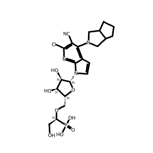 N#Cc1c(Cl)nc2c(ccn2[C@@H]2O[C@H](CO[C@H](CO)P(=O)(O)O)[C@@H](O)[C@H]2O)c1N1CC2CCCC2C1